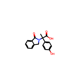 CC(C(=O)O)(c1ccc(O)cc1)N1Cc2ccccc2C1=O